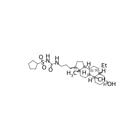 CC[C@H]1C[C@@H]2[C@H](CC[C@]3(C)[C@@H](CCCNC(=O)NS(=O)(=O)C4CCCC4)CC[C@@H]23)[C@@]2(C)CC[C@@H](O)C[C@@H]12